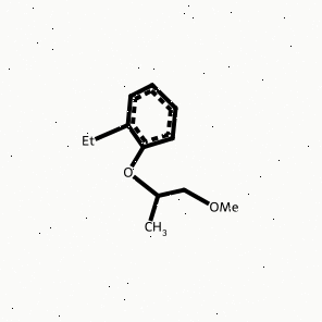 CCc1ccccc1OC(C)COC